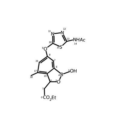 CCOC(=O)CC1OB(O)c2cc(Oc3nnc(NC(C)=O)s3)cc(C)c21